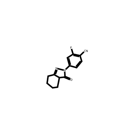 N#Cc1ccc(N2N=C3CCCCC3C2=O)cc1F